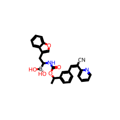 CC(OC(=O)NC(Cc1coc2ccccc12)B(O)O)c1cccc(C=C(C#N)c2ccccn2)c1